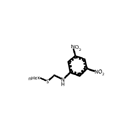 CCCCCCSCNc1cc([N+](=O)[O-])cc([N+](=O)[O-])c1